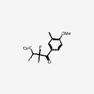 COc1ccc(C(=O)C(F)(F)C(F)C=O)cc1C